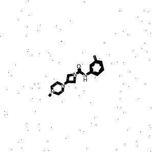 Cc1cccc(NC(=O)N2CC(N3CCN(C)CC3)C2)c1